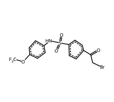 O=C(CBr)c1ccc(S(=O)(=O)Nc2ccc(OC(F)(F)F)cc2)cc1